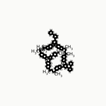 CC(C)c1ccc(-c2cc3c4cc5cc(C(C)C)ccc5cc4n4c5cc6ccc(C(C)CCC(C)c7ccc8cc9c(cc8c7)c7cc(-c8ccccc8-c8ccccc8)cc8c%10cc%11cc(C(C)CCC(C)c%12ccc%13cc%14c(cc%13c%12)c%12cc(-c%13cccc(-c%15ccccc%15)c%13)cc%13c%15cc%16cc(C(C)C)ccc%16cc%15n%14c%13%12)ccc%11cc%10n9c78)cc6cc5c(c2)c34)cc1